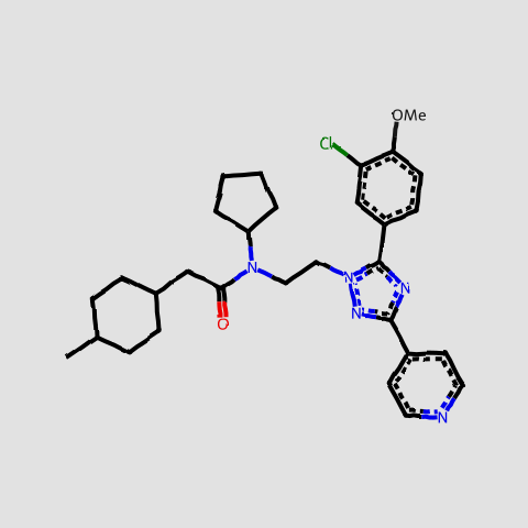 COc1ccc(-c2nc(-c3ccncc3)nn2CCN(C(=O)CC2CCC(C)CC2)C2CCCC2)cc1Cl